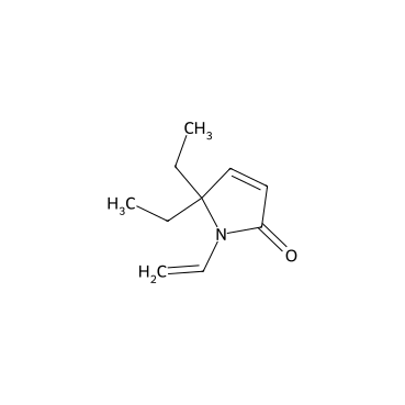 C=CN1C(=O)C=CC1(CC)CC